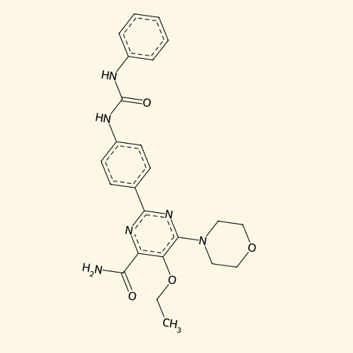 CCOc1c(C(N)=O)nc(-c2ccc(NC(=O)Nc3ccccc3)cc2)nc1N1CCOCC1